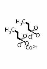 CCCS(=O)(=O)[O-].CCCS(=O)(=O)[O-].[Co+2]